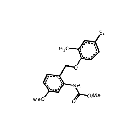 CCc1ccc(OCc2ccc(OC)cc2NC(=O)OC)c(C)c1